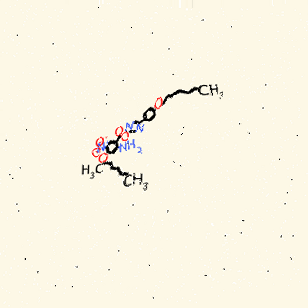 CCCCCCCOc1ccc(-c2cnc(OC(=O)c3cc([N+](=O)[O-])c(OC(C)CCCCCC)cc3N)cn2)cc1